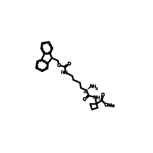 COC(=O)C1(NC(=O)[C@@H](N)CCCCNC(=O)OCC2c3ccccc3-c3ccccc32)CCC1